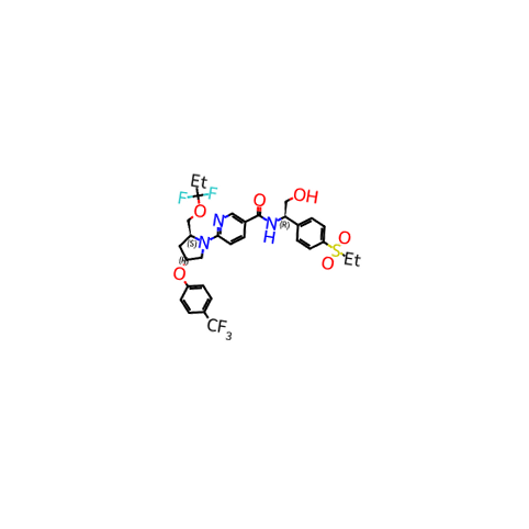 CCC(F)(F)OC[C@@H]1C[C@@H](Oc2ccc(C(F)(F)F)cc2)CN1c1ccc(C(=O)N[C@@H](CO)c2ccc(S(=O)(=O)CC)cc2)cn1